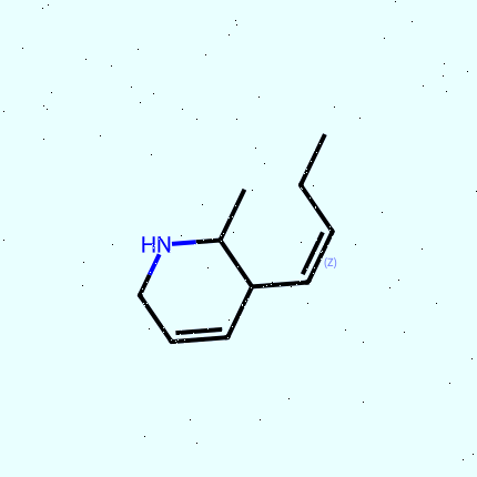 CC/C=C\C1C=CCNC1C